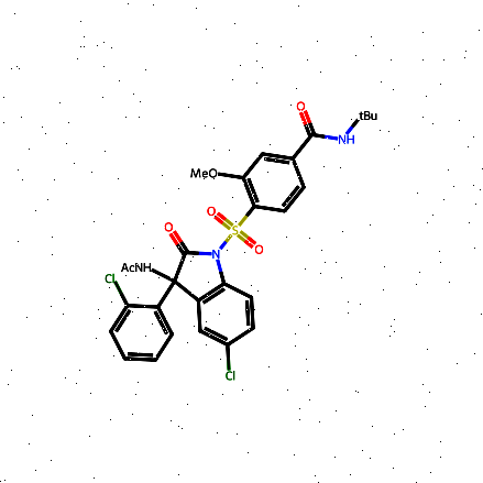 COc1cc(C(=O)NC(C)(C)C)ccc1S(=O)(=O)N1C(=O)C(NC(C)=O)(c2ccccc2Cl)c2cc(Cl)ccc21